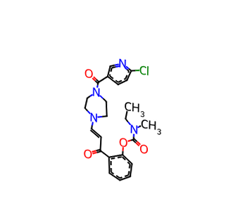 CCN(C)C(=O)Oc1ccccc1C(=O)C=CN1CCN(C(=O)c2ccc(Cl)nc2)CC1